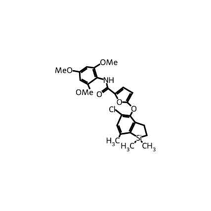 COc1cc(OC)c(NC(=O)c2ccc(Oc3c(Cl)cc(C)c4c3CC[Si]4(C)C)o2)c(OC)c1